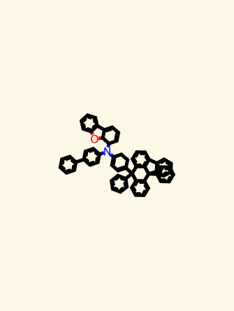 C1=CC(N(C2=CC=C(C3(c4ccccc4)c4ccccc4C4(c5ccccc5)c5ccccc5-c5cccc3c54)CC2)c2ccc(-c3ccccc3)cc2)C2Oc3ccccc3C2=C1